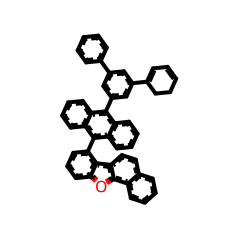 C1=CCCC(c2cc(-c3ccccc3)cc(-c3c4ccccc4c(-c4cccc5oc6c7ccccc7ccc6c45)c4ccccc34)c2)=C1